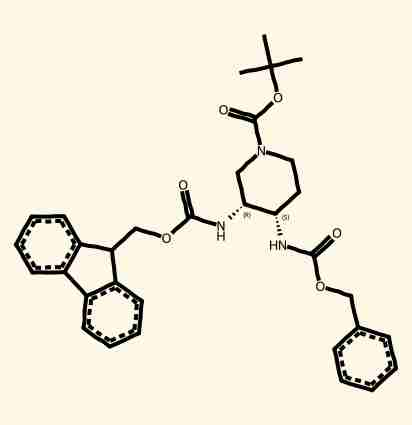 CC(C)(C)OC(=O)N1CC[C@H](NC(=O)OCc2ccccc2)[C@H](NC(=O)OCC2c3ccccc3-c3ccccc32)C1